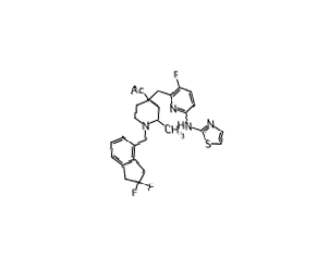 CC(=O)C1(Cc2nc(Nc3nccs3)ccc2F)CCN(Cc2cccc3c2CC(F)(F)C3)C(C)C1